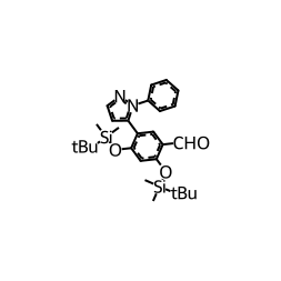 CC(C)(C)[Si](C)(C)Oc1cc(O[Si](C)(C)C(C)(C)C)c(-c2ccnn2-c2ccccc2)cc1C=O